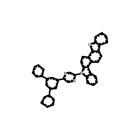 c1ccc(-c2cc(-c3ccccc3)cc(-c3cnc(-n4c5ccccc5c5c6ccc7c8ccccc8oc7c6ccc54)cn3)c2)cc1